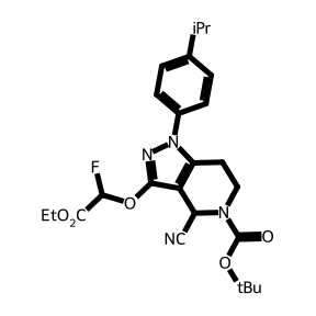 CCOC(=O)C(F)Oc1nn(-c2ccc(C(C)C)cc2)c2c1C(C#N)N(C(=O)OC(C)(C)C)CC2